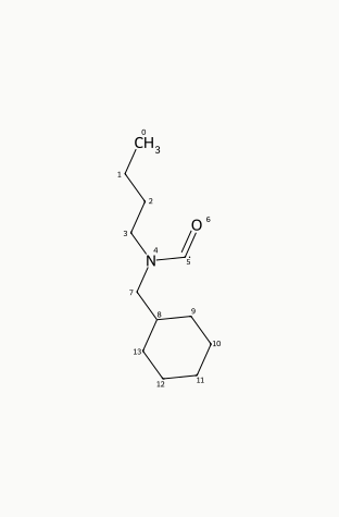 CCCCN([C]=O)CC1CCCCC1